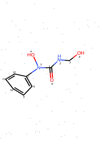 O=C(NCO)N(O)c1ccccc1